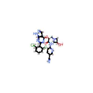 N#Cc1ccc(NC(=O)[C@H](CN2CC(O)C2)Oc2nc(-c3c(Cl)cccc3Cl)nc3[nH]ncc23)nc1